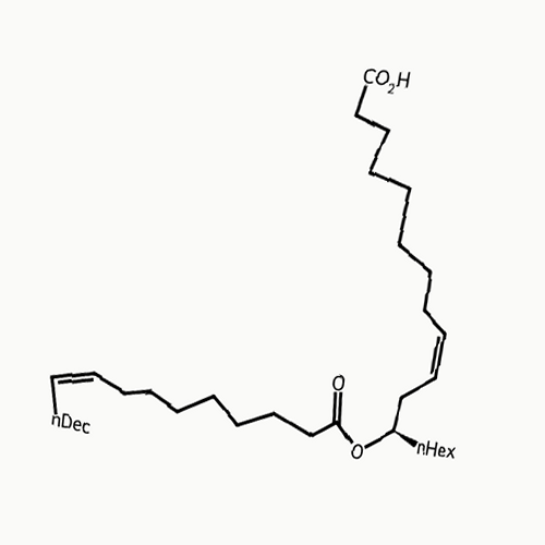 CCCCCCCCCC/C=C\CCCCCCCC(=O)O[C@@H](C/C=C\CCCCCCCC(=O)O)CCCCCC